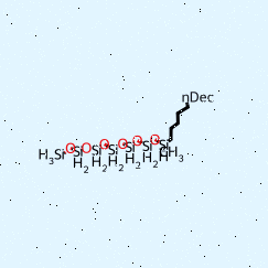 CCCCCCCCCCCCCCC[SiH](C)O[SiH2]O[SiH2]O[SiH2]O[SiH2]O[SiH2]O[SiH3]